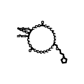 C=C=C=C=C1C(CCCCC)CCOC(=O)CCCCCCCC(COCCCN2CCCC2)CCCCCCCC(=O)OCCC1CCCCC